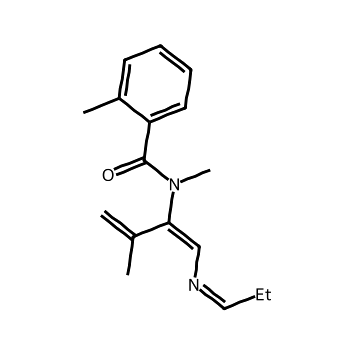 C=C(C)/C(=C\N=C/CC)N(C)C(=O)c1ccccc1C